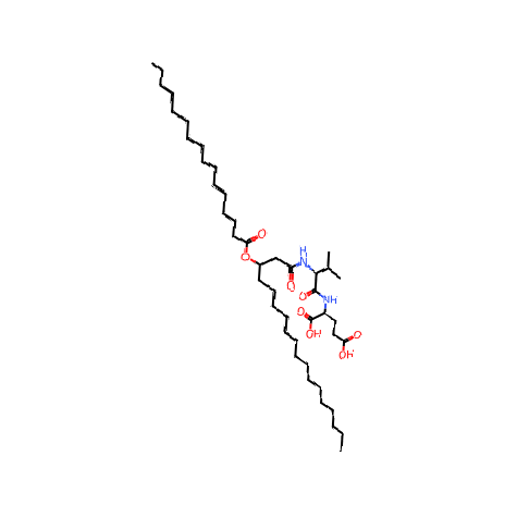 CCCCCCCCCCCCCCCC(=O)OC(CCCCCCCCCCCCCCC)CC(=O)N[C@H](C(=O)N[C@@H](CCC(=O)O)C(=O)O)C(C)C